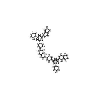 c1ccc(-c2nc(-c3ccc(-c4ccc5ccc(-c6ccc(-c7nc(-c8ccccc8)nc(-c8ccc9ccccc9c8)n7)cc6)cc5c4)cc3)nc(-c3ccc4ccccc4c3)n2)cc1